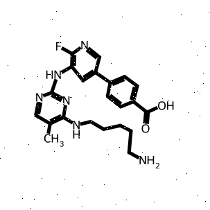 Cc1cnc(Nc2cc(-c3ccc(C(=O)O)cc3)cnc2F)nc1NCCCCCN